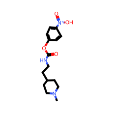 CN1CCC(CCNC(=O)Oc2ccc([N+](=O)O)cc2)CC1